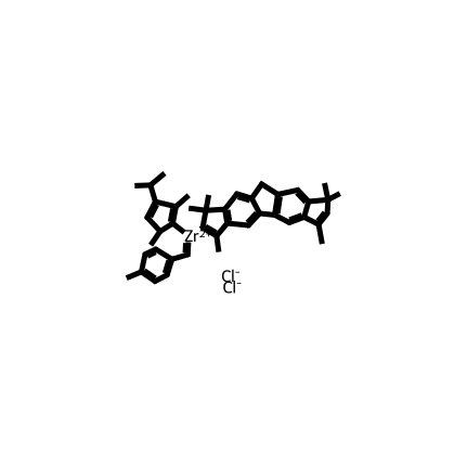 CC1=CC(C)(C)c2cc3c(cc21)-c1cc2c(cc1C3)C(C)(C)[C]([Zr+2](=[CH]c1ccc(C)cc1)[C]1=C(C)C(C(C)C)=CC1C)=C2C.[Cl-].[Cl-]